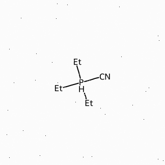 CC[PH](C#N)(CC)CC